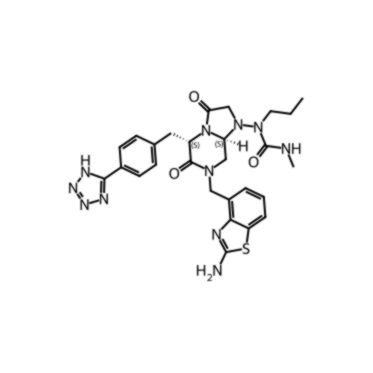 CCCN(C(=O)NC)N1CC(=O)N2[C@@H](Cc3ccc(-c4nnn[nH]4)cc3)C(=O)N(Cc3cccc4sc(N)nc34)C[C@@H]21